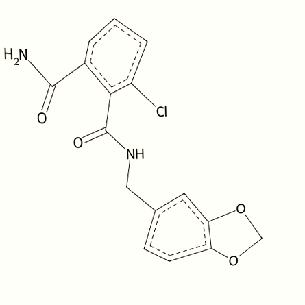 NC(=O)c1cccc(Cl)c1C(=O)NCc1ccc2c(c1)OCO2